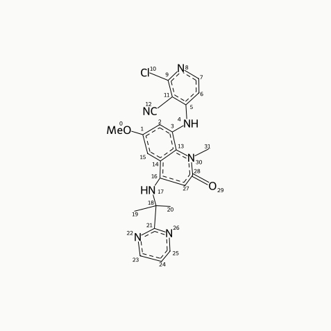 COc1cc(Nc2ccnc(Cl)c2C#N)c2c(c1)c(NC(C)(C)c1ncccn1)cc(=O)n2C